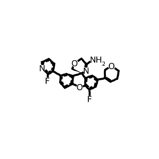 NC1=N[C@@]2(COC1)c1cc(-c3cccnc3F)ccc1Oc1c(F)cc(C3=CCCOC3)cc12